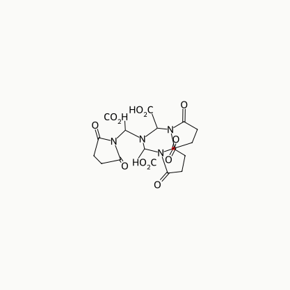 O=C(O)C(N1C(=O)CCC1=O)N(C(C(=O)O)N1C(=O)CCC1=O)C(C(=O)O)N1C(=O)CCC1=O